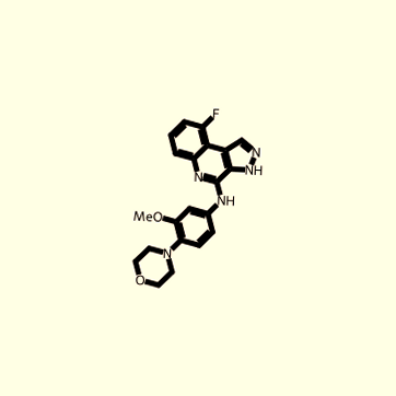 COc1cc(Nc2nc3cccc(F)c3c3cn[nH]c23)ccc1N1CCOCC1